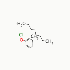 ClOc1ccccc1.[CH2]CCCCCCC.[CH3]